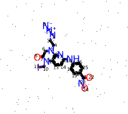 [N-]=[N+]=NCCN1CC(=O)N(CI)c2ccc(Nc3ccc(C(=O)N=O)cc3)nc21